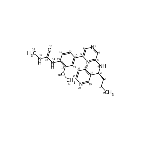 CCC[C@H](Nc1cncc(-c2ccc(NC(=O)NC)c(OC)c2)n1)c1cccnc1